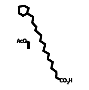 C=COC(C)=O.O=C(O)CCCCCCCCCCCCCCC1CCCCC1